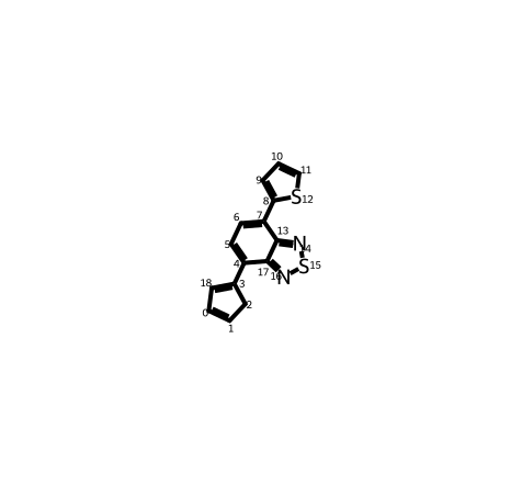 C1=CCC(c2ccc(-c3cccs3)c3nsnc23)=C1